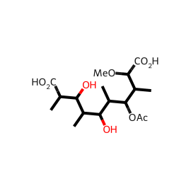 COC(C(=O)O)C(C)C(OC(C)=O)C(C)C(O)C(C)C(O)C(C)C(=O)O